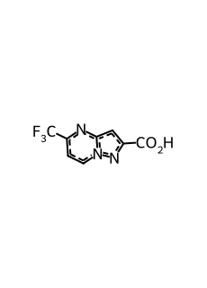 O=C(O)c1cc2nc(C(F)(F)F)ccn2n1